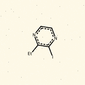 CCc1nccnc1I